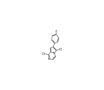 Fc1ccc(-c2cc3c(Cl)nccn3c2Cl)cc1